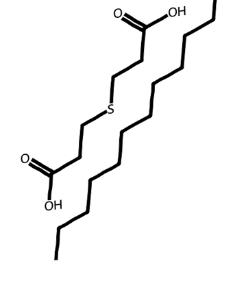 CCCCCCCCCCCC.O=C(O)CCSCCC(=O)O